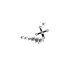 O.O=P([O-])([O-])[O-].[K+].[K+].[K+].[MgH2].[MgH2].[MgH2]